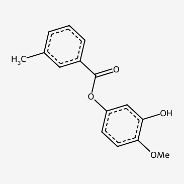 COc1ccc(OC(=O)c2cccc(C)c2)cc1O